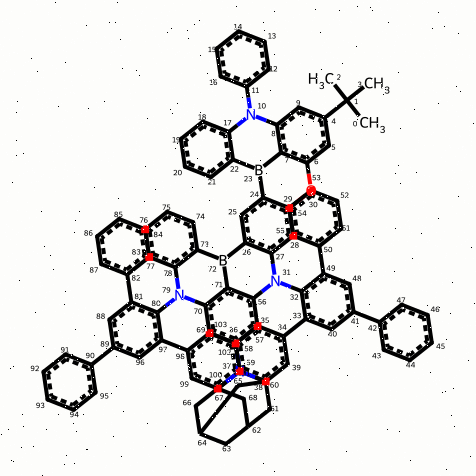 CC(C)(C)c1cc2c3c(c1)N(c1ccccc1)c1ccccc1B3c1cc3c(cc1O2)N(c1c(-c2ccccc2)cc(-c2ccccc2)cc1-c1ccccc1)c1cc(N2C4CC5CC(C4)CC2C5)cc2c1B3c1ccccc1N2c1c(-c2ccccc2)cc(-c2ccccc2)cc1-c1ccccc1